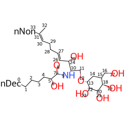 CCCCCCCCCCCCCCC(O)C(=O)NC(CO[C@@H]1CC(CO)[C@@H](O)[C@H](O)C1O)C(O)/C=C/CC/C=C(\C)CCCCCCCCC